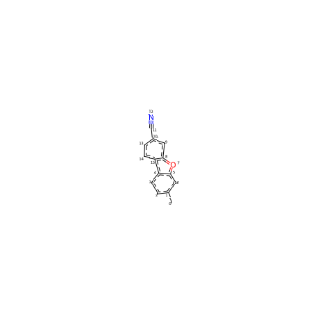 Cc1ccc2c(c1)oc1cc(C#N)ccc12